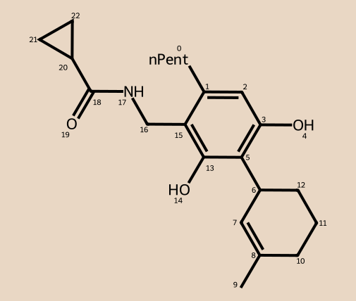 CCCCCc1cc(O)c(C2C=C(C)CCC2)c(O)c1CNC(=O)C1CC1